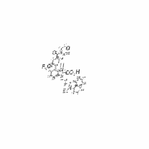 CCN(CCCCc1c(C(=O)O)[nH]c2c(-c3ccc(C(=O)N4CCOCC4)cc3C(F)(F)F)cccc12)c1cccc2ccccc12